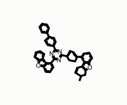 CC1C=Cc2c(oc3cccc(C4=CC=C(c5nc(-c6ccc(-c7ccccc7)cc6)nc(-c6cccc7oc8ccccc8c67)n5)CC4)c23)C1